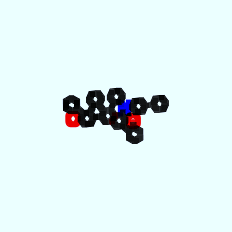 c1ccc(-c2ccc(N(c3ccccc3-c3cccc4c5ccc6oc7ccccc7c6c5c5ccccc5c34)c3cccc4c3oc3ccccc34)cc2)cc1